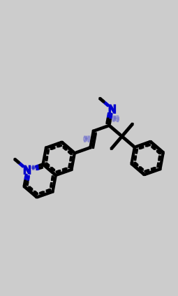 C/N=C(\C=C\c1ccc2c(ccc[n+]2C)c1)C(C)(C)c1ccccc1